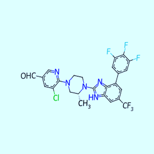 C[C@@H]1CN(c2ncc(C=O)cc2Cl)CCN1c1nc2c(-c3cc(F)c(F)c(F)c3)cc(C(F)(F)F)cc2[nH]1